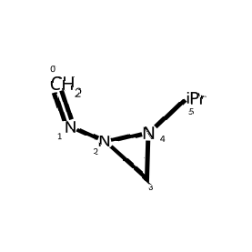 C=NN1CN1C(C)C